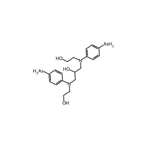 OCCN(CC(O)CN(CCO)c1ccc([AsH2])cc1)c1ccc([AsH2])cc1